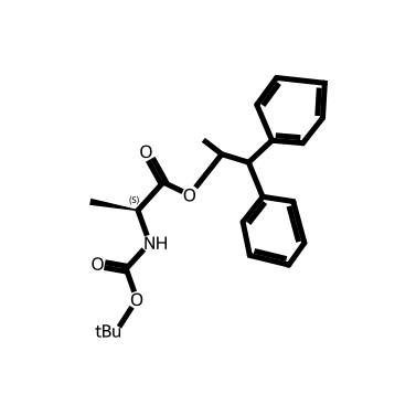 CC(OC(=O)[C@H](C)NC(=O)OC(C)(C)C)C(c1ccccc1)c1ccccc1